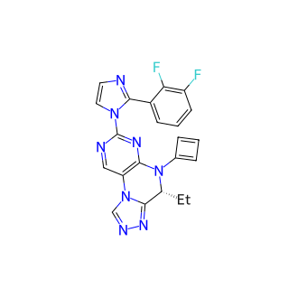 CC[C@@H]1c2nncn2-c2cnc(-n3ccnc3-c3cccc(F)c3F)nc2N1C1=CC=C1